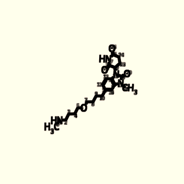 CNCCCCOCCCCc1ccc2c(c1)n(C)c(=O)n2C1CCC(=O)NC1=O